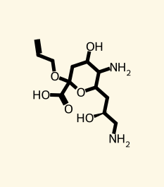 C=CCOC1(C(=O)O)CC(O)C(N)C(C[C@H](O)CN)O1